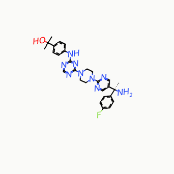 CC(C)(O)c1ccc(Nc2ncnc(N3CCN(c4ncc([C@@](C)(N)c5ccc(F)cc5)cn4)CC3)n2)cc1